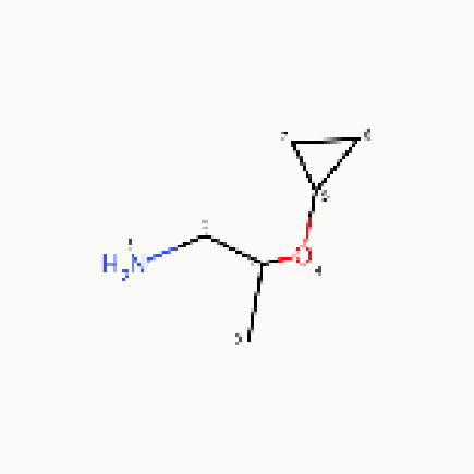 CC(CN)OC1CC1